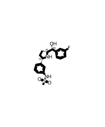 CS(=O)(=O)Nc1cccc([C@@H]2CC[C@H]([C@H](O)c3cccc(F)c3)N2)c1